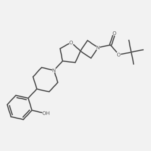 CC(C)(C)OC(=O)N1CC2(CC(N3CCC(c4ccccc4O)CC3)CO2)C1